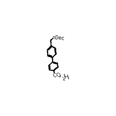 CCCCCCCCCCCc1ccc(-c2ccc(C(=O)O)cc2)cc1